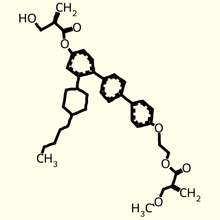 C=C(COC)C(=O)OCCOc1ccc(-c2ccc(-c3ccc(OC(=O)C(=C)CO)cc3C3CCC(CCCCC)CC3)cc2)cc1